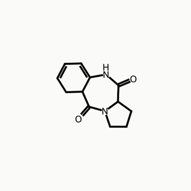 O=C1NC2=CC=CCC2C(=O)N2CCCC12